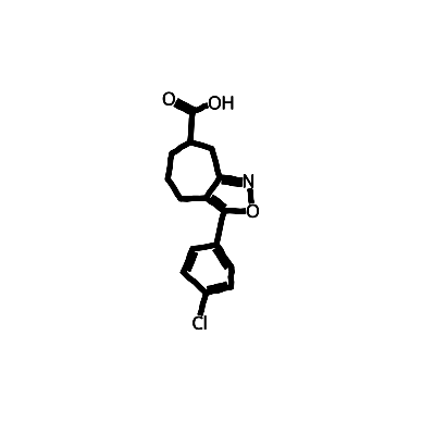 O=C(O)C1CCCc2c(noc2-c2ccc(Cl)cc2)C1